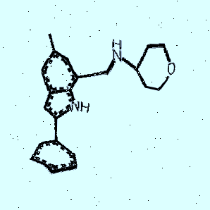 Cc1cc(CNC2CCOCC2)c2[nH]c(-c3ccccc3)cc2c1